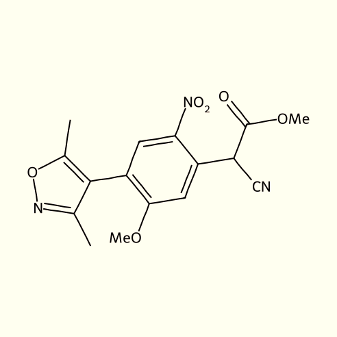 COC(=O)C(C#N)c1cc(OC)c(-c2c(C)noc2C)cc1[N+](=O)[O-]